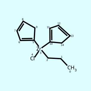 CC[CH2][Zr]([Cl])([C]1=CC=CC1)[C]1=CC=CC1